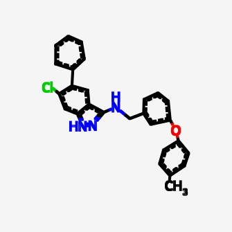 Cc1ccc(Oc2cccc(CNc3n[nH]c4cc(Cl)c(-c5ccccc5)cc34)c2)cc1